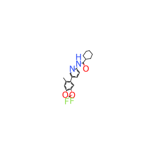 Cc1cc2c(cc1-c1ccc(NC(=O)C3CCCCC3)nc1)OC(F)(F)O2